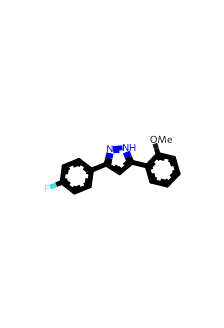 COc1ccccc1-c1cc(-c2ccc(F)cc2)n[nH]1